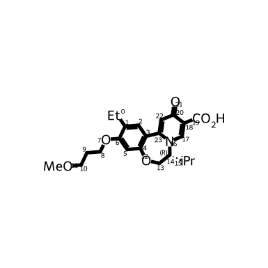 CCc1cc2c(cc1OCCCOC)OC[C@@H](C(C)C)n1cc(C(=O)O)c(=O)cc1-2